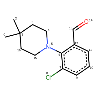 CC1(C)CCN(c2c(Cl)cccc2C=O)CC1